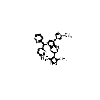 Cc1noc(C)c1-c1cnc2c(-c3cnn(C)c3)cn(C(c3ccccn3)c3ccccn3)c2c1